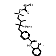 CCCCCC(C)(Cc1ccc(C(=O)Nc2ccccc2N)cc1)C(C)C[Si](C)(C)OC(=O)NCC